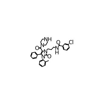 Cc1ccccc1-n1c(-c2ccccc2)c(C(=O)N2CCNCC2)n(CCCNC(=O)c2cccc(Cl)c2)c1=O